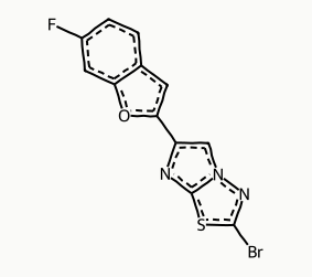 Fc1ccc2cc(-c3cn4nc(Br)sc4n3)oc2c1